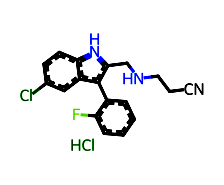 Cl.N#CCCNCc1[nH]c2ccc(Cl)cc2c1-c1ccccc1F